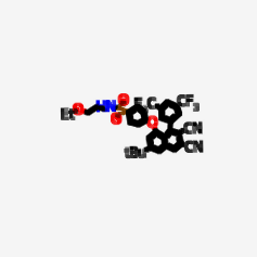 CCOCCCNS(=O)(=O)c1ccc(Oc2cc(C(C)(C)C)cc3cc(C#N)c(C#N)c(-c4cc(C(F)(F)F)cc(C(F)(F)F)c4)c23)cc1